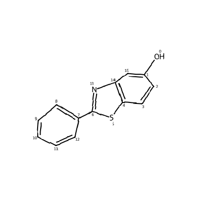 Oc1ccc2sc(-c3ccccc3)nc2c1